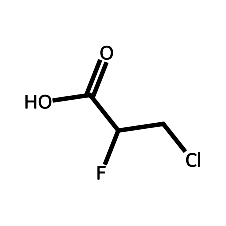 O=C(O)C(F)CCl